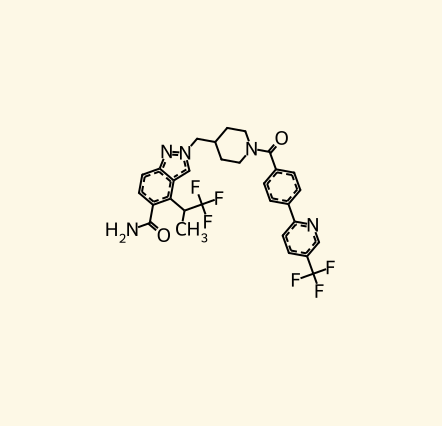 CC(c1c(C(N)=O)ccc2nn(CC3CCN(C(=O)c4ccc(-c5ccc(C(F)(F)F)cn5)cc4)CC3)cc12)C(F)(F)F